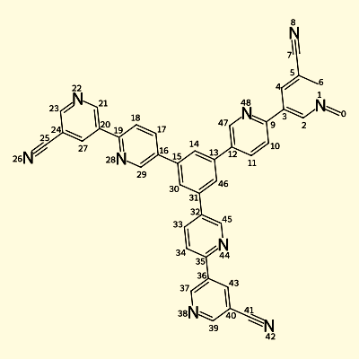 C=N/C=C(\C=C(/C)C#N)c1ccc(-c2cc(-c3ccc(-c4cncc(C#N)c4)nc3)cc(-c3ccc(-c4cncc(C#N)c4)nc3)c2)cn1